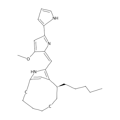 CCCCC[C@H]1CCCCCCc2cc1c(/C=C1/N=C(c3ccc[nH]3)C=C1OC)[nH]2